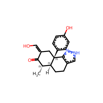 C[C@@H]1C(=O)C(=CO)C[C@]2(c3ccc(O)cc3)c3n[nH]cc3CC[C@@H]12